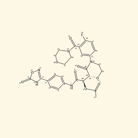 CC(=O)O[C@@H](C(=O)Nc1ccc(-c2noc(=O)[nH]2)cc1)[C@H]1OCCN(c2ccc(F)c(C(=O)N3CCOCC3)c2)C1=O